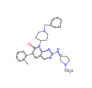 Cc1ccccc1-c1cc2cnc(N[C@H]3CCN(C(=O)O)C3)nc2n(C2CCN(Cc3ccccc3)CC2)c1=O